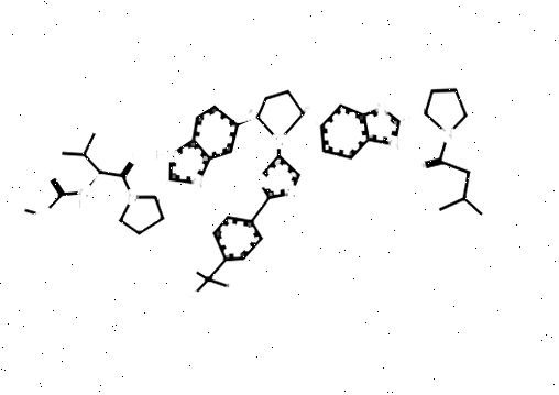 COC(=O)N[C@H](C(=O)N1CCC[C@H]1c1nc2cc([C@H]3CC[C@H](c4ccc5nc([C@@H]6CCCN6C(=O)[CH]C(C)C)[nH]c5c4)N3c3cnc(-c4ccc(C(F)(F)F)cc4)s3)ccc2[nH]1)C(C)C